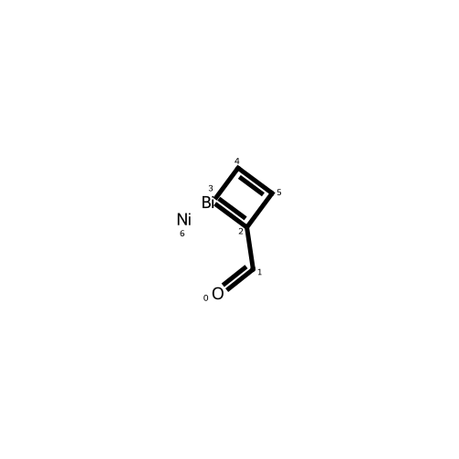 O=C[C]1=[Bi][CH]=C1.[Ni]